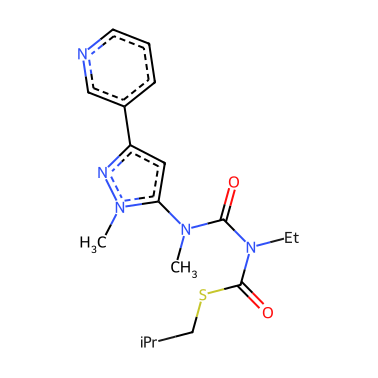 CCN(C(=O)SCC(C)C)C(=O)N(C)c1cc(-c2cccnc2)nn1C